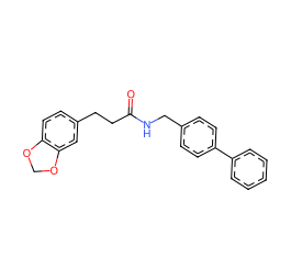 O=C(CCc1ccc2c(c1)OCO2)NCc1ccc(-c2ccccc2)cc1